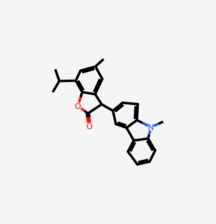 Cc1cc(C(C)C)c2c(c1)C(c1ccc3c(c1)c1ccccc1n3C)C(=O)O2